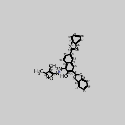 Cc1noc(/N=N/c2c(O)c(-c3nc4ccccc4s3)cc3cc(-c4nc5ccccc5s4)ccc23)c1C